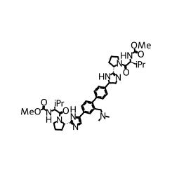 COC(=O)N[C@H](C(=O)N1CCC[C@H]1C1=NCC(c2ccc(-c3ccc(-c4cnc([C@@H]5CCCN5C(=O)[C@@H](NC(=O)OC)C(C)C)[nH]4)cc3CN(C)C)cc2)N1)C(C)C